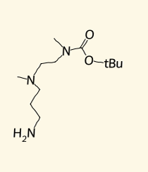 CN(CCCN)CCN(C)C(=O)OC(C)(C)C